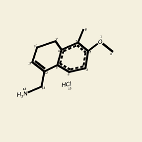 COc1ccc2c(c1C)CCC=C2CN.Cl